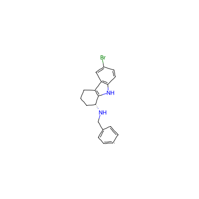 Brc1ccc2[nH]c3c(c2c1)CCC[C@H]3NCc1cc[c]cc1